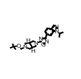 CC(C)n1ncc2ccc(-c3noc(N4C[C@H]5CN(COC(C)(C)C)C[C@H]5C4)n3)cc21